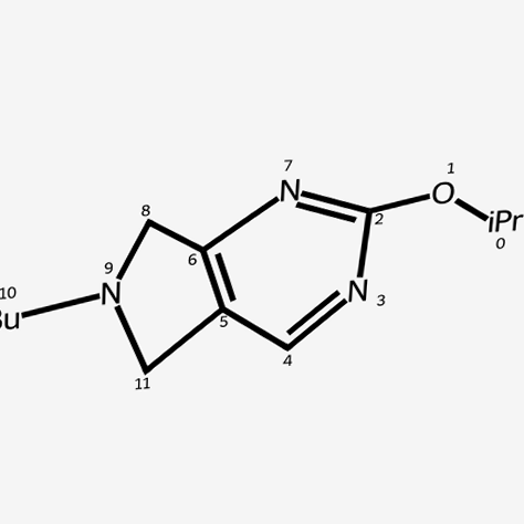 CC(C)Oc1ncc2c(n1)CN(C(C)(C)C)C2